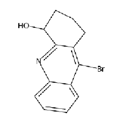 OC1CCCc2c1nc1ccccc1c2Br